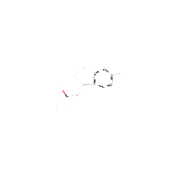 Cc1ccc2c(c1)CCC2CC(=O)O